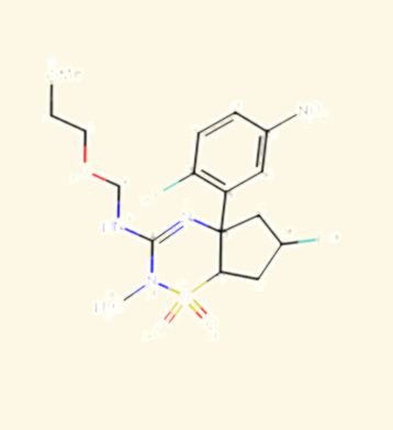 COCCOCNC1=NC2(c3cc([N+](=O)[O-])ccc3F)CC(F)CC2S(=O)(=O)N1C